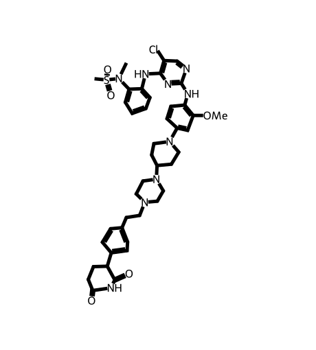 COc1cc(N2CCC(N3CCN(CCc4ccc(C5CCC(=O)NC5=O)cc4)CC3)CC2)ccc1Nc1ncc(Cl)c(Nc2ccccc2N(C)S(C)(=O)=O)n1